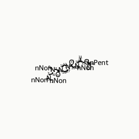 CCCCCCCCCN(CCCCCCCCC)CCN(CCCCCCCCC)CC(=O)N1CCN(C(=O)CN(CCCCCCCCC)CC(C)COC(=O)CCCCC)CC1